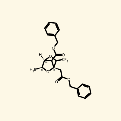 B[C@@H]1O[C@]2(CC(=O)OCc3ccccc3)C(C(=O)OCc3ccccc3)[C@@H]1OC2C(F)(F)F